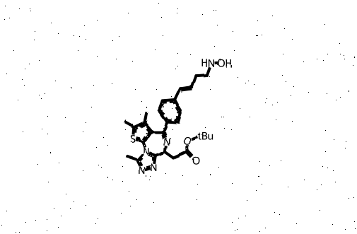 Cc1sc2c(c1C)C(c1ccc(C=CCCNO)cc1)=NC(CC(=O)OC(C)(C)C)c1nnc(C)n1-2